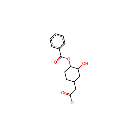 [O]C(=O)CC1CCC(OC(=O)c2ccccc2)C(O)C1